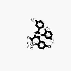 COc1ccc(Cl)cc1-c1c(C(N)=O)nc(-c2cccc(C)c2)n1-c1cc(Cl)ccc1C